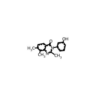 Cc1ccc2c(=O)n(-c3cccc(O)c3)c(C)nc2c1C